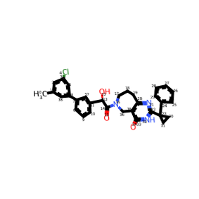 Cc1cc(Cl)cc(-c2cccc([C@@H](O)C(=O)N3CCCc4nc(C5(c6ccccc6)CC5)[nH]c(=O)c4C3)c2)c1